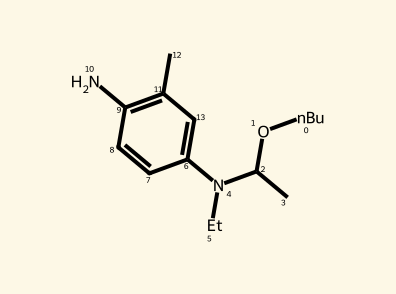 CCCCOC(C)N(CC)c1ccc(N)c(C)c1